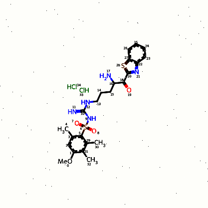 COc1cc(C)c(S(=O)(=O)NC(=N)NCCCC(N)C(=O)c2nc3ccccc3s2)c(C)c1C.Cl.Cl